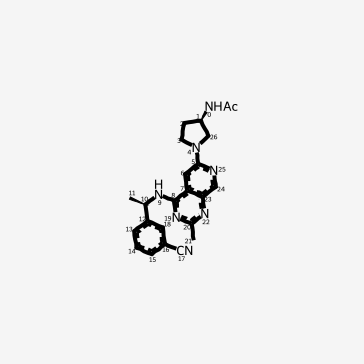 CC(=O)N[C@@H]1CCN(c2cc3c(N[C@H](C)c4cccc(C#N)c4)nc(C)nc3cn2)C1